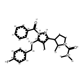 Cc1c(C2CCN(C(=O)N(C)C)C2C)nn(C(=O)c2ccccc2)c1OCc1ccc(F)cc1